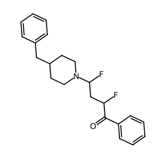 O=C(c1ccccc1)C(F)CC(F)N1CCC(Cc2ccccc2)CC1